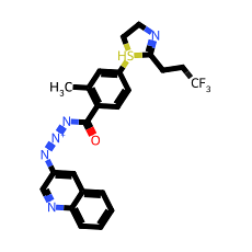 Cc1cc([SH]2CCN=C2CCC(F)(F)F)ccc1C(=O)N=[N+]=Nc1cnc2ccccc2c1